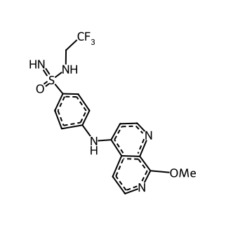 COc1nccc2c(Nc3ccc(S(=N)(=O)NCC(F)(F)F)cc3)ccnc12